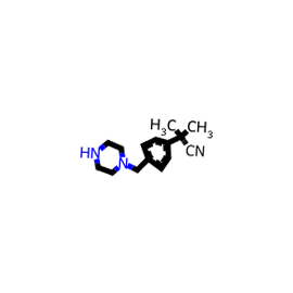 CC(C)(C#N)c1ccc(CN2CCNCC2)cc1